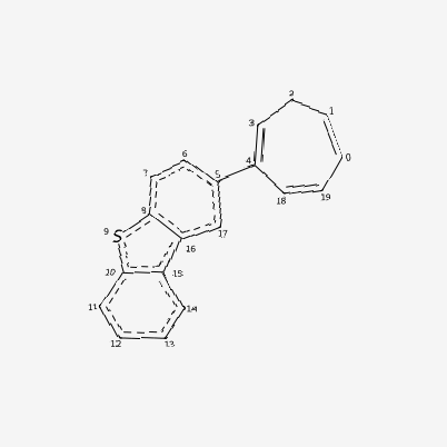 C1=CCC=C(c2ccc3sc4ccccc4c3c2)C=C1